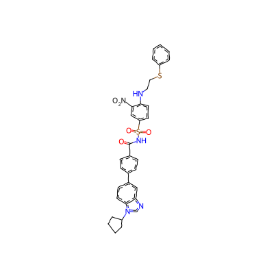 O=C(NS(=O)(=O)c1ccc(NCCSc2ccccc2)c([N+](=O)[O-])c1)c1ccc(-c2ccc3c(c2)ncn3C2CCCC2)cc1